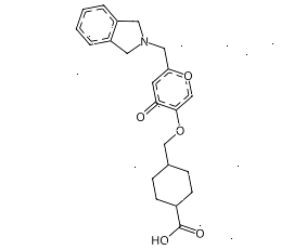 O=C(O)C1CCC(COc2coc(CN3Cc4ccccc4C3)cc2=O)CC1